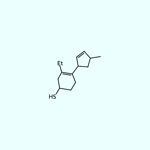 CCC1=C(C2C=CC(C)C2)CCC(S)C1